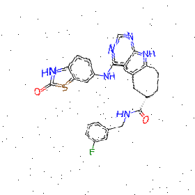 O=C(NCc1cccc(F)c1)[C@H]1CCc2[nH]c3ncnc(Nc4ccc5[nH]c(=O)sc5c4)c3c2C1